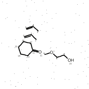 C=CC.C=CC.COCCO.O=C1CCCCC1